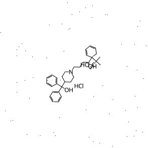 CC(C)(C(=O)O)C1(C(O)CCCN2CCC(C(O)(c3ccccc3)c3ccccc3)CC2)C=CC=CC1.Cl